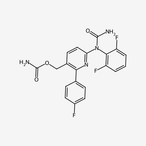 NC(=O)OCc1ccc(N(C(N)=O)c2c(F)cccc2F)nc1-c1ccc(F)cc1